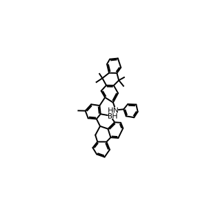 Cc1cc(-c2cc3c(cc2Nc2ccccc2)C(C)(C)c2ccccc2C3(C)C)c2c(c1)C1Cc3ccccc3-c3cccc(c31)B2